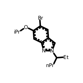 CCCC(CC)n1cc2cc(Br)c(OC(C)C)cc2n1